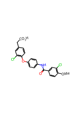 COc1ccc(C(=O)Nc2ccc(Oc3ccc(CC(=O)O)cc3Cl)cc2)cc1Cl